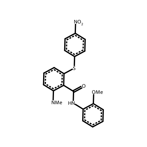 CNc1cccc(Sc2ccc([N+](=O)[O-])cc2)c1C(=O)Nc1ccccc1OC